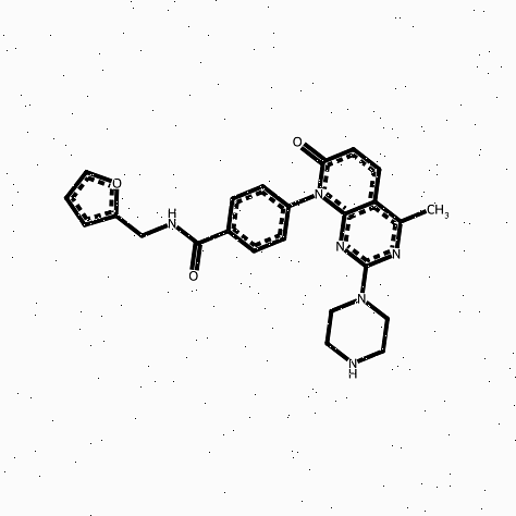 Cc1nc(N2CCNCC2)nc2c1ccc(=O)n2-c1ccc(C(=O)NCc2ccco2)cc1